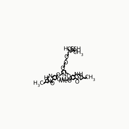 C/C=C1\C[C@H]2C=Nc3cc(OCc4cc(OCCOCCOCCN(C)CC(C)(C)S)cc(COc5cc6c(cc5OC)C(=O)N5C/C(=C/C)C[C@H]5C=N6)n4)c(OC)cc3C(=O)N2C1